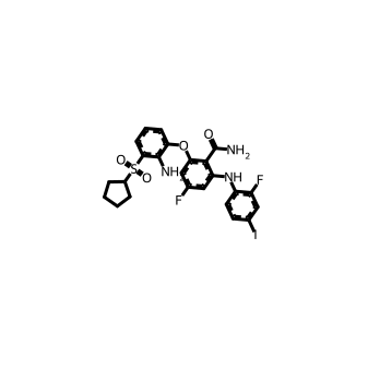 NC(=O)c1c(Nc2ccc(I)cc2F)cc(F)cc1Oc1cccc(S(=O)(=O)C2CCCC2)c1N